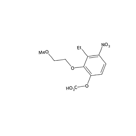 CCc1c([N+](=O)[O-])ccc(OC(=O)O)c1OCCOC